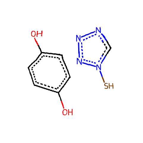 Oc1ccc(O)cc1.Sn1cnnn1